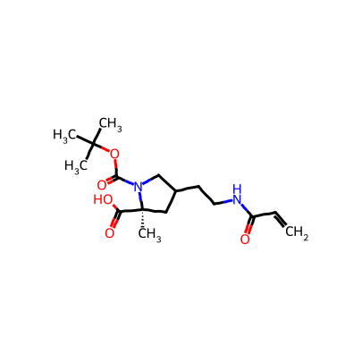 C=CC(=O)NCCC1CN(C(=O)OC(C)(C)C)[C@](C)(C(=O)O)C1